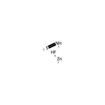 F.N=S.[Zn]